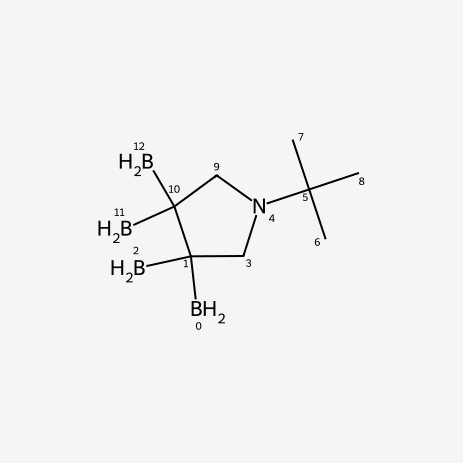 BC1(B)CN(C(C)(C)C)CC1(B)B